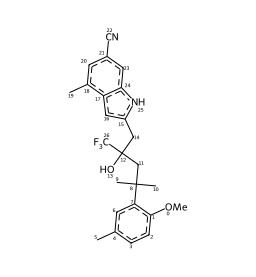 COc1ccc(C)cc1C(C)(C)CC(O)(Cc1cc2c(C)cc(C#N)cc2[nH]1)C(F)(F)F